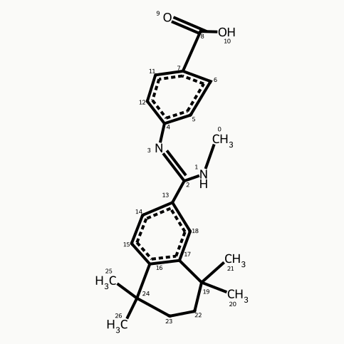 CNC(=Nc1ccc(C(=O)O)cc1)c1ccc2c(c1)C(C)(C)CCC2(C)C